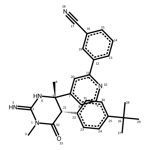 CN1C(=N)N[C@](C)(c2ccnc(-c3cccc(C#N)c3)c2)[C@H](c2ccc(C(C)(C)C)cc2)C1=O